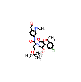 CNc1cc(NC(=O)C(CCOC(C)(C)C)n2cc(OC)c(-c3cc(Cl)ccc3C(C)=O)cc2=O)ccc1CC=O